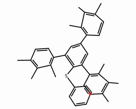 Cc1ccc(-c2cc(-c3ccc(C)c(C)c3C)c(Sc3ccccc3)c(-c3ccc(C)c(C)c3C)c2)c(C)c1C